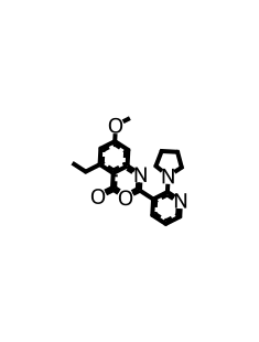 CCc1cc(OC)cc2nc(-c3cccnc3N3CCCC3)oc(=O)c12